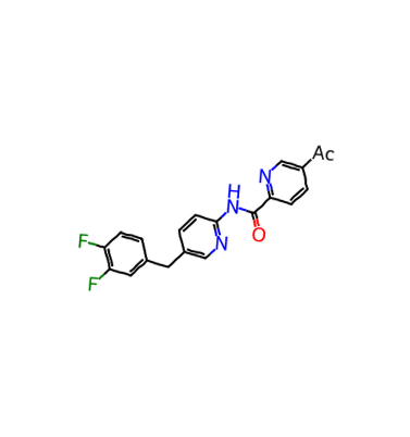 CC(=O)c1ccc(C(=O)Nc2ccc(Cc3ccc(F)c(F)c3)cn2)nc1